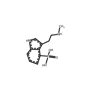 CNCCc1c[nH]c2cccc(P(=O)(O)O)c12